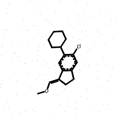 COC=C1CCc2cc(Cl)c(C3CCCCC3)cc21